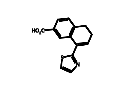 O=C(O)c1ccc2c(c1)C(c1nccs1)=CCC2